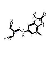 Cc1cc(N/C=C(\C=N)C=O)cc2c1oc(=O)n2C